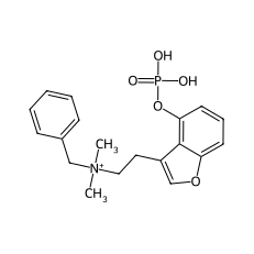 C[N+](C)(CCc1coc2cccc(OP(=O)(O)O)c12)Cc1ccccc1